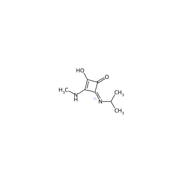 CNc1c(O)c(=O)/c1=N\C(C)C